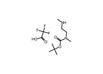 CNCCN(C)C(=O)OC(C)(C)C.O=C(O)C(F)(F)F